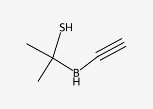 C#CBC(C)(C)S